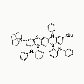 CC(C)(C)c1cc2c3c(c1)N(c1ccccc1)c1cc4c(cc1B3c1ccccc1N2c1ccccc1)B1c2ccccc2N(c2ccccc2)c2cc(N3C5CC6CC7CC3CC67C5)cc(c21)S4